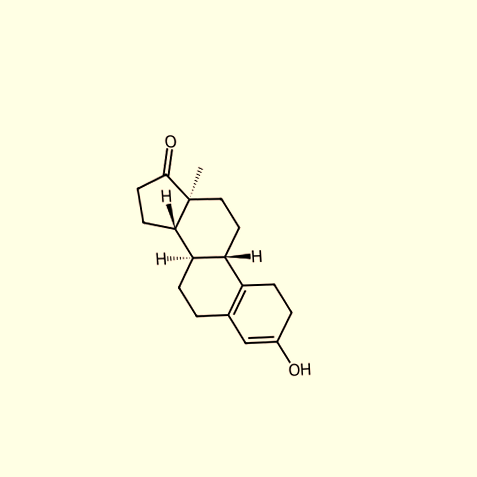 C[C@]12CC[C@@H]3C4=C(C=C(O)CC4)CC[C@H]3[C@@H]1CCC2=O